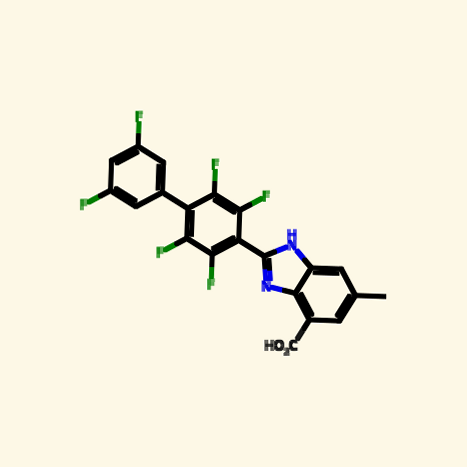 Cc1cc(C(=O)O)c2nc(-c3c(F)c(F)c(-c4cc(F)cc(F)c4)c(F)c3F)[nH]c2c1